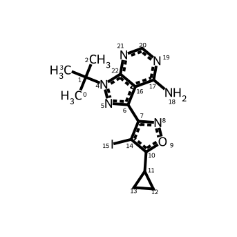 CC(C)(C)n1nc(-c2noc(C3CC3)c2I)c2c(N)ncnc21